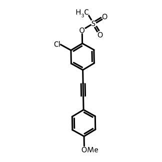 COc1ccc(C#Cc2ccc(OS(C)(=O)=O)c(Cl)c2)cc1